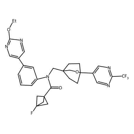 CCOc1ncc(-c2cccc(N(CC34CCC(c5cnc(C(F)(F)F)nc5)(CC3)OC4)C(=O)C34CC(F)(C3)C4)c2)cn1